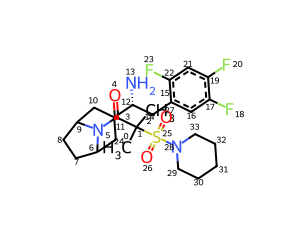 CC(C)(C(=O)N1C2CCC1CC([C@H](N)Cc1cc(F)c(F)cc1F)C2)S(=O)(=O)N1CCCCC1